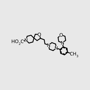 Cc1ccc(N2CCN(CCC3CC4(CCN(C(=O)O)CC4)CO3)CC2)c(N2CCOCC2)c1